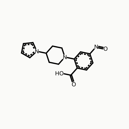 O=Nc1ccc(C(=O)O)c(N2CCC(n3cccc3)CC2)c1